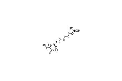 O=C(NC(CO)C(=O)O)OCCCCCCON(O)O